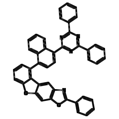 c1ccc(-c2nc(-c3ccccc3)nc(-c3ccc(-c4cccc5oc6cc7oc(-c8ccccc8)nc7cc6c45)c4ccccc34)n2)cc1